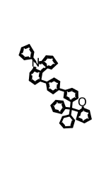 C1=CCC(C2(c3ccccc3)c3ccccc3Oc3ccc(-c4ccc(-c5cccc6c5c5ccccc5n6-c5ccccc5)cc4)cc32)C=C1